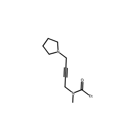 CCC(=O)N(C)CC#CCN1CCCC1